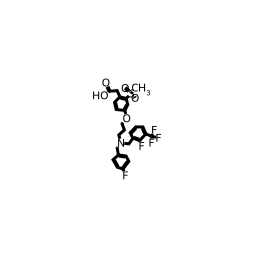 CS(=O)(=O)c1cc(OCCCN(Cc2ccc(F)cc2)Cc2cccc(C(F)(F)F)c2F)ccc1CC(=O)O